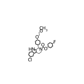 COCCOc1ccc(C2c3[nH]c4ccc(Cl)cc4c3CCN2C(=O)Oc2ccc(F)cc2)cc1